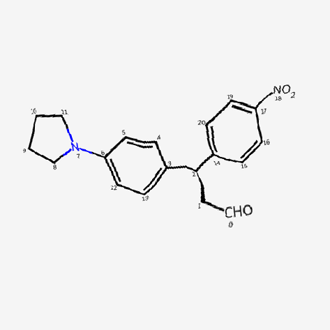 O=CC[C@@H](c1ccc(N2CCCC2)cc1)c1ccc([N+](=O)[O-])cc1